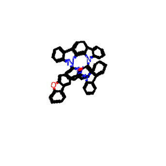 c1cc(-c2ccc3oc4ccccc4c3c2)cc(-n2c3ccccc3c3ccc4c5ccccc5n(-c5cccc(-n6c7ccccc7c7ccccc76)n5)c4c32)c1